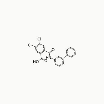 O=C(O)c1cc(Cl)c(Cl)cc1C(=O)Nc1cccc(-c2ccccc2)c1